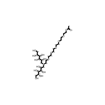 CC(=O)OCCOCCOCCOCCOCCOCCN(C[C@H](O)[C@@H](O)[C@H](O)[C@H](O)CO)C[C@H](O)[C@@H](O)[C@H](O)[C@H](O)CO